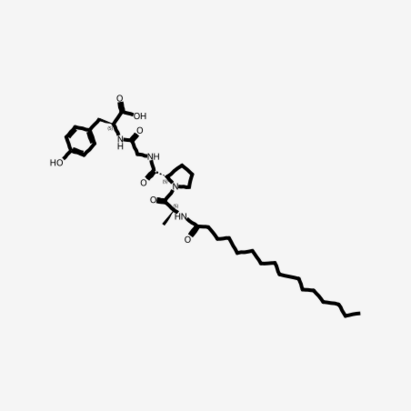 CCCCCCCCCCCCCCCC(=O)N[C@@H](C)C(=O)N1CCC[C@H]1C(=O)NCC(=O)N[C@@H](Cc1ccc(O)cc1)C(=O)O